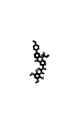 C=CC(=O)Nc1cc(N2CCN(CC)CC2)ccc1Nc1cc(N(C)C(=O)N(C)c2c(Cl)c(OC)cc(OC)c2Cl)ncn1